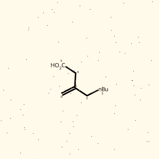 C=C(CCCCC)CC(=O)O